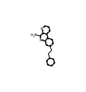 Nc1nc2cc(CCc3ccccc3)ccc2c2cccnc12